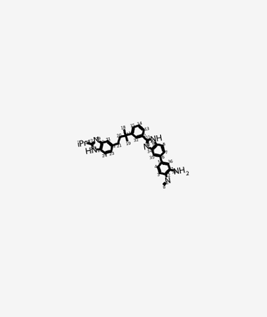 C=Nc1ccc(-c2ccc3[nH]c(-c4cccc(C(C)(C)CCc5ccc6[nH]c(C(C)C)nc6c5)c4)nc3c2)cc1N